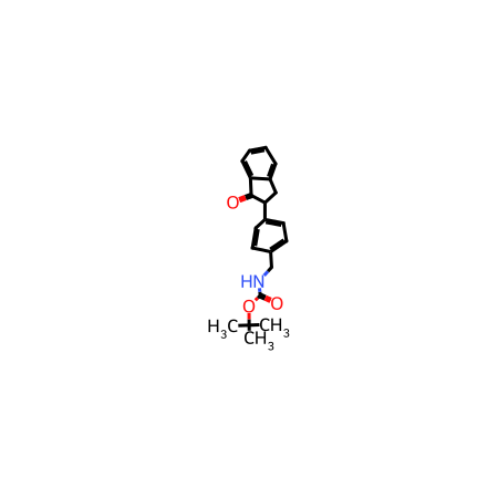 CC(C)(C)OC(=O)NCc1ccc(C2Cc3ccccc3C2=O)cc1